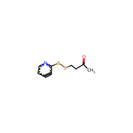 CC(=O)CCSSc1c#cccn1